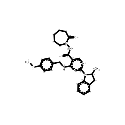 COc1ccc(CNc2nc(N3c4ccccc4CC3C)ncc2C(=O)NN2CCCCCC2=O)cc1